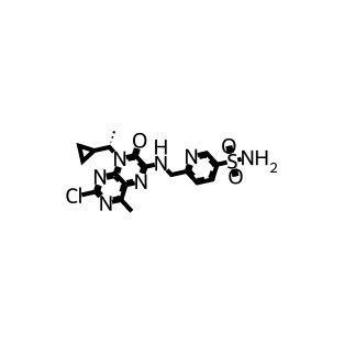 Cc1nc(Cl)nc2c1nc(NCc1ccc(S(N)(=O)=O)cn1)c(=O)n2[C@@H](C)C1CC1